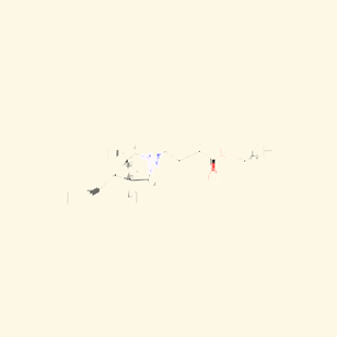 C#CC1[C@H]2CN(CCCC(=O)OCC)C[C@@H]12